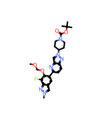 COCOc1c(-c2ccc3nn(C4CCN(C(=O)OC(C)(C)C)CC4)cc3n2)cc2cn(C)nc2c1F